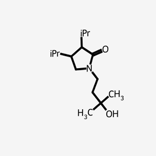 CC(C)C1CN(CCC(C)(C)O)C(=O)C1C(C)C